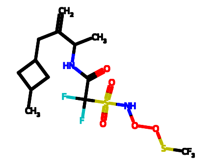 C=C(CC1CC(C)C1)C(C)NC(=O)C(F)(F)S(=O)(=O)NOOSC(F)(F)F